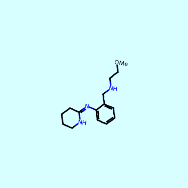 COCCNCc1ccccc1N=C1CCCCN1